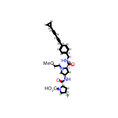 COCCN1C[C@H](NC(=O)[C@@H]2C[C@H](F)CN2C(=O)O)C[C@@H]1C(=O)NCc1ccc(C#CC#CC2CC2)cc1